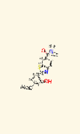 CCN(CC)C(=O)c1ccc2nc(-c3ccc(OC)cc3O)sc2c1